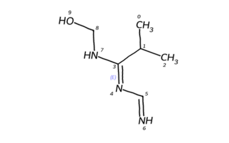 CC(C)/C(=N\C=N)NCO